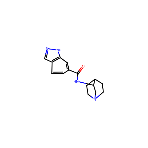 O=C(NC1CN2CCC1CC2)c1ccc2cn[nH]c2c1